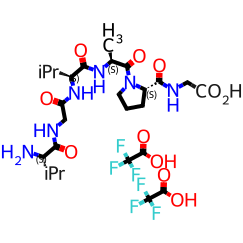 CC(C)[C@H](N)C(=O)NCC(=O)N[C@H](C(=O)N[C@@H](C)C(=O)N1CCC[C@H]1C(=O)NCC(=O)O)C(C)C.O=C(O)C(F)(F)F.O=C(O)C(F)(F)F